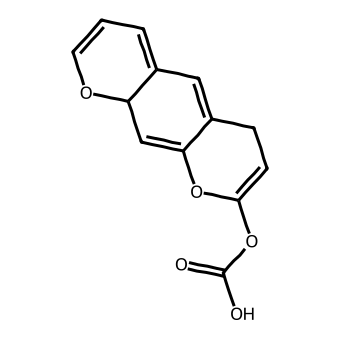 O=C(O)OC1=CCC2=CC3=CC=COC3C=C2O1